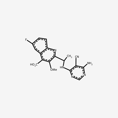 COc1c(C(C)Nc2ncnc(N)c2C#N)nc2ccc(F)cc2c1C(=O)O